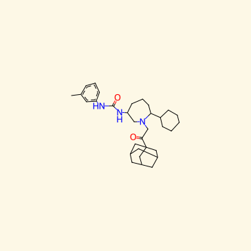 Cc1cccc(NC(=O)NC2CCCC(C3CCCCC3)N(CC(=O)C34CC5CC(CC(C5)C3)C4)C2)c1